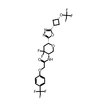 O=C(COc1ccc(C(F)(F)F)cc1)N[C@@H]1CO[C@@H](c2nnc([C@H]3C[C@@H](OC(F)(F)F)C3)o2)CC1(F)F